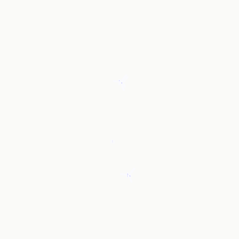 CN1C=C/C(=C\C=Cc2ccc3ccccc3[n+]2C)c2ccccc21